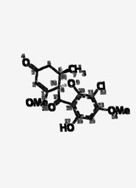 COC1=CC(=O)C[C@@H](C)[C@]12Oc1c(Cl)c(OC)cc(O)c1C2=O